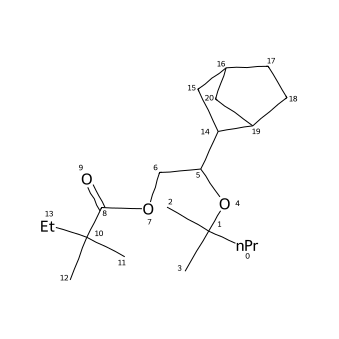 CCCC(C)(C)OC(COC(=O)C(C)(C)CC)C1CC2CCC1C2